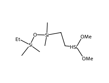 CC[Si](C)(C)O[Si](C)(C)CC[SiH](OC)OC